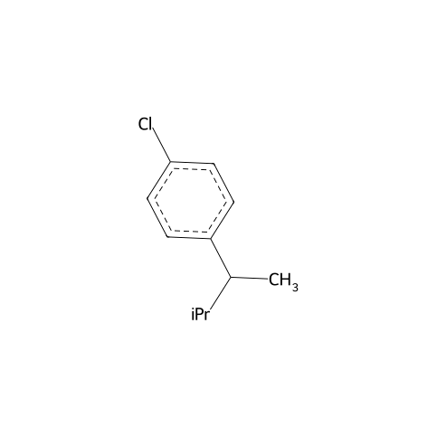 CC(C)C(C)c1ccc(Cl)cc1